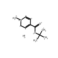 CC(C)(C)OC(=O)C1=CCN(N)C=C1.I